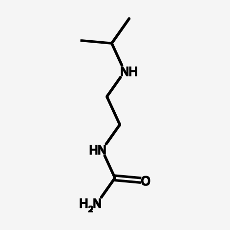 CC(C)NCCNC(N)=O